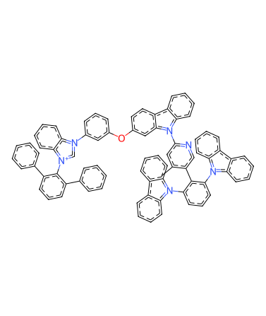 Cc1cc(-n2c3ccccc3c3ccc(Oc4cccc(-n5c[n+](-c6c(-c7ccccc7)cccc6-c6ccccc6)c6ccccc65)c4)cc32)ncc1-c1c(-n2c3ccccc3c3ccccc32)cccc1-n1c2ccccc2c2ccccc21